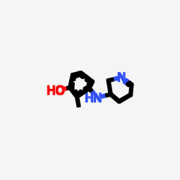 Cc1c(O)cccc1NC1CCC=NC1